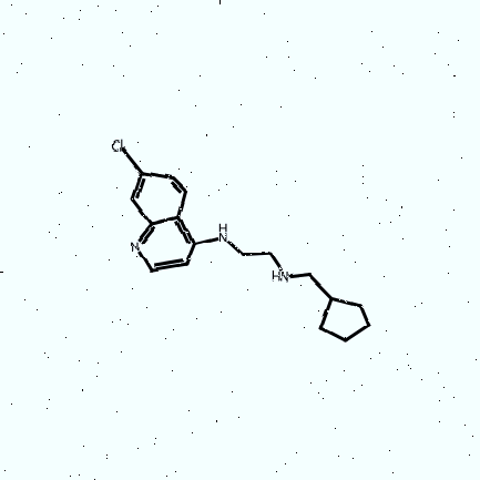 Clc1ccc2c(NCCNCC3CCCC3)ccnc2c1